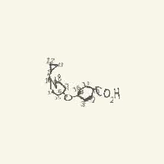 O=C(O)c1ccc(OC2CCN(CC3CC3)CC2)cc1